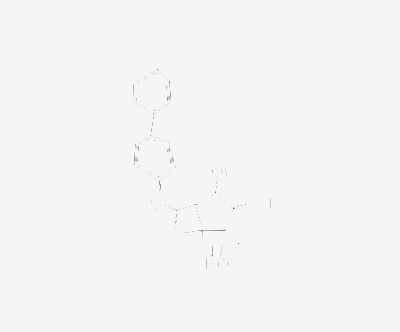 OCC1C(O)C(O)C2C(Oc3ccc(-c4ccccc4)cc3)OC12O